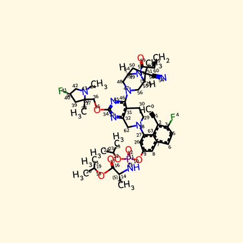 C#Cc1c(F)ccc2cc(OP(=O)(N[C@@H](C)C(=O)OC(C)C)OC(C)C)cc(N3CCc4c(nc(OC[C@]5(C)C[C@@H](F)CN5C)nc4N4C[C@H]5CC(C)(C#N)[C@@H](C4)N5C(=O)C=C)C3)c12